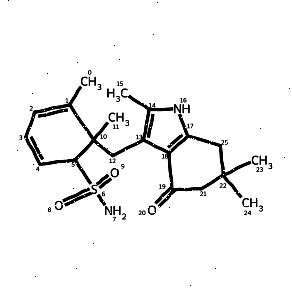 CC1=CC=CC(S(N)(=O)=O)C1(C)Cc1c(C)[nH]c2c1C(=O)CC(C)(C)C2